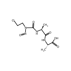 C[C@H](NC(=O)[C@H](C)NC(=O)N(CCCl)N=O)C(=O)O